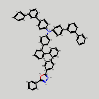 c1ccc(-c2cccc(-c3ccc(N(c4ccc(-c5cccc(-c6ccccc6)c5)cc4)c4ccc(-c5ccccc5-c5ccccc5-c5ccc(-c6nnc(-c7ccccc7)o6)cc5)cc4)cc3)c2)cc1